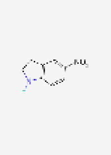 O=[N+]([O-])c1ccc2c(c1)CCN2F